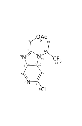 CC(=O)OCc1nc2cnc(Cl)cc2n1C(C)C(F)(F)F